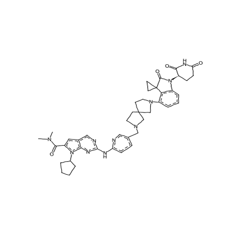 CN(C)C(=O)c1cc2cnc(Nc3ccc(CN4CCC5(CCN(c6cccc7c6C6(CC6)C(=O)N7[C@@H]6CCC(=O)NC6=O)C5)C4)cn3)nc2n1C1CCCC1